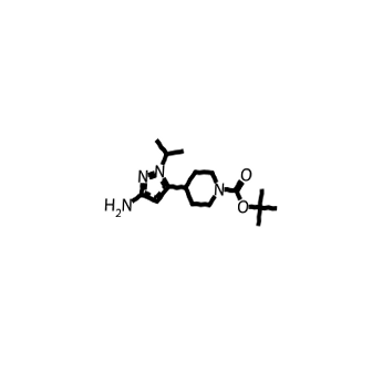 CC(C)n1nc(N)cc1C1CCN(C(=O)OC(C)(C)C)CC1